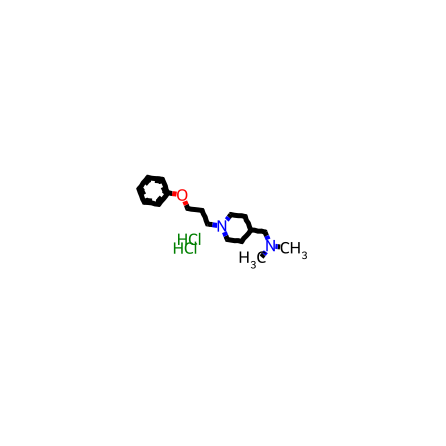 CN(C)CC1CCN(CCCOc2ccccc2)CC1.Cl.Cl